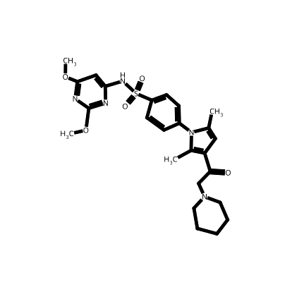 COc1cc(NS(=O)(=O)c2ccc(-n3c(C)cc(C(=O)CN4CCCCC4)c3C)cc2)nc(OC)n1